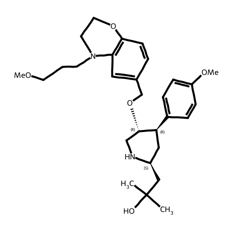 COCCCN1CCOc2ccc(CO[C@H]3CN[C@H](CC(C)(C)O)C[C@@H]3c3ccc(OC)cc3)cc21